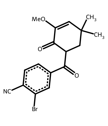 COC1=CC(C)(C)CC(C(=O)c2ccc(C#N)c(Br)c2)C1=O